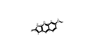 COc1ccc2cc3cc(C)sc3nc2c1